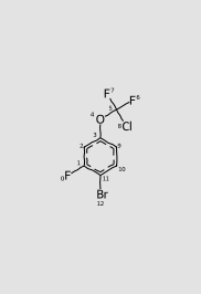 Fc1cc(OC(F)(F)Cl)ccc1Br